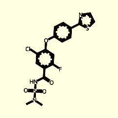 CN(C)S(=O)(=O)NC(=O)c1cc(Cl)c(Oc2ccc(-c3nccs3)cc2)cc1F